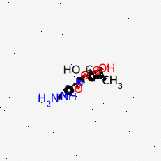 CC1C2B(O)Oc3c(ccc(OC4CN(C(=O)C[C@H]5CC[C@H](NCCN)CC5)C4)c3C(=O)O)C12